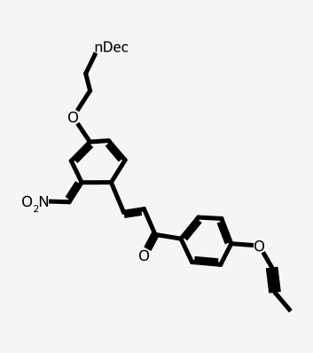 CC#COc1ccc(C(=O)C=CC2C=CC(OCCCCCCCCCCCC)=CC2=C[N+](=O)[O-])cc1